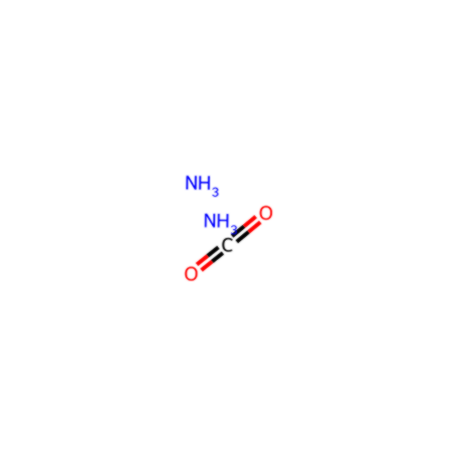 N.N.O=C=O